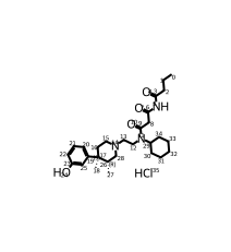 CCCC(=O)NC(=O)CC(=O)N(CCN1CC[C@](C)(c2cccc(O)c2)[C@@H](C)C1)C1CCCCC1.Cl